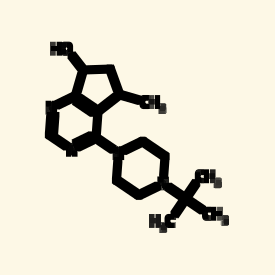 CC1CC(O)c2ncnc(N3CCN(C(C)(C)C)CC3)c21